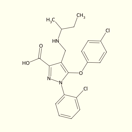 CCC(C)NCc1c(C(=O)O)nn(-c2ccccc2Cl)c1Oc1ccc(Cl)cc1